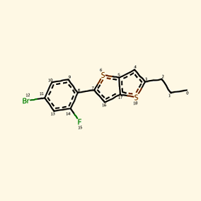 CCCc1cc2sc(-c3ccc(Br)cc3F)cc2s1